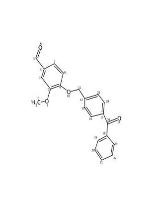 COc1cc(C=O)ccc1OCc1ccc(C(=O)c2ccccc2)cc1